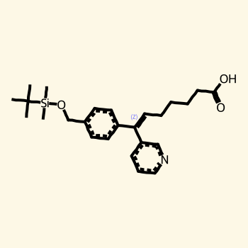 CC(C)(C)[Si](C)(C)OCc1ccc(/C(=C/CCCCC(=O)O)c2cccnc2)cc1